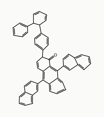 O=C1c2c(c(-c3ccc4ccccc4c3)c3ccccc3c2-c2ccc3ccccc3c2)C=CC1c1ccc(C2C=CC=CC2c2ccccc2)cc1